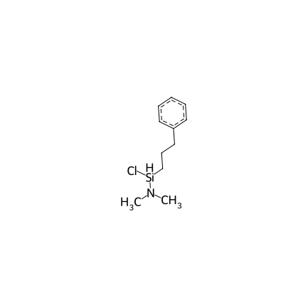 CN(C)[SiH](Cl)CCCc1ccccc1